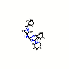 c1ccc(CN2CC(Nc3nc(N4CCCCCC4)c4ccccc4n3)C2)cc1